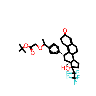 CC(OCC(=O)OC(C)(C)C)c1ccc([C@H]2C[C@@]3(C)C(CC[C@@]3(O)C(F)(F)C(F)(F)F)C3CCC4=CC(=O)CCC4=C32)cc1